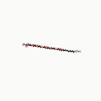 CCCCCCCCCCCCCCCCCCCCCOCCCOCCCOCCCOCCCOCCCOCCCOCCCOC(=O)C(C)CC